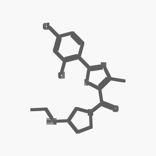 CCNC1CCN(C(=O)c2sc(-c3ccc(Cl)cc3Cl)nc2C)C1